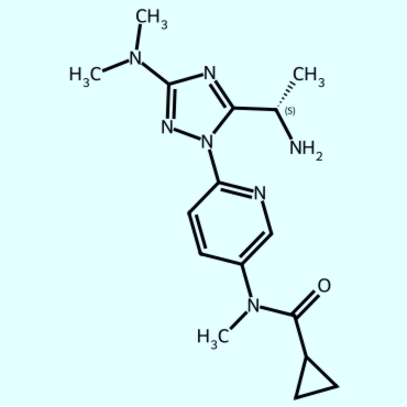 C[C@H](N)c1nc(N(C)C)nn1-c1ccc(N(C)C(=O)C2CC2)cn1